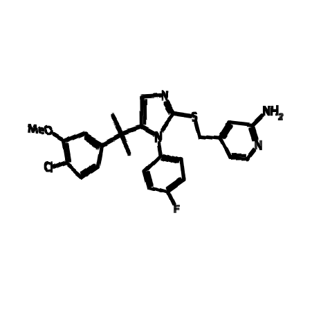 COc1cc(C(C)(C)c2cnc(SCc3ccnc(N)c3)n2-c2ccc(F)cc2)ccc1Cl